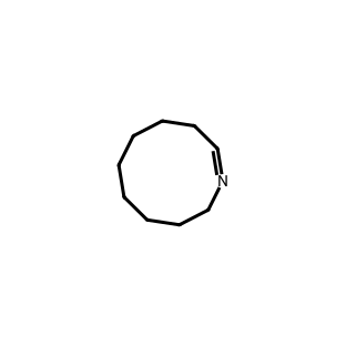 C1=NCCCCCCCC1